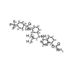 CN(C)CC(Nc1ncnc2c(OC(N)=O)cccc12)c1cccc(NC(=O)c2ccc(C(F)(F)F)cc2)c1